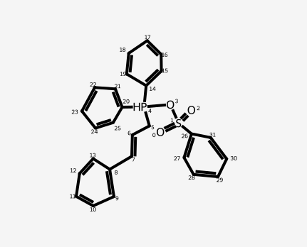 O=S(=O)(O[PH](CC=Cc1ccccc1)(c1ccccc1)c1ccccc1)c1ccccc1